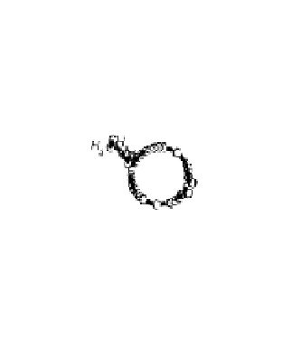 CN(C)CCNCC(=O)OC1CCCCCCCC/C=C\C/C=C\CCCOC(=O)CC(=O)OCCC/C=C\C/C=C\CCCCCCCC1